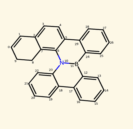 C1=Cc2ccc3c(c2CC1)N1B(c2ccccc2-c2ccccc21)c1ccccc1-3